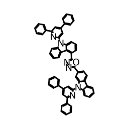 c1ccc(-c2cc(-c3ccccc3)nc(-n3c4ccccc4c4ccc(-c5nnc(-c6cccc7c6c6ccccc6n7-c6cc(-c7ccccc7)cc(-c7ccccc7)n6)o5)cc43)c2)cc1